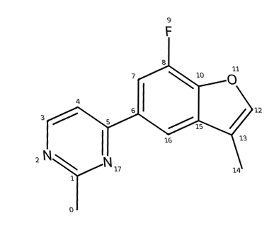 Cc1nccc(-c2cc(F)c3occ(C)c3c2)n1